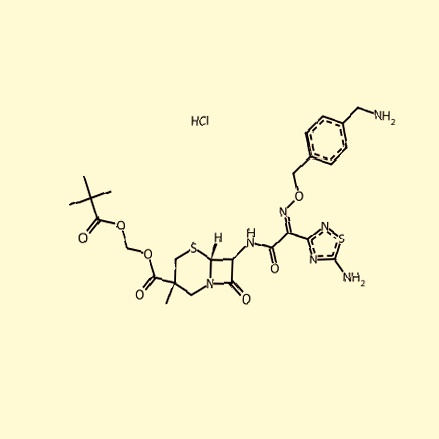 CC(C)(C)C(=O)OCOC(=O)C1(C)CS[C@@H]2C(NC(=O)C(=NOCc3ccc(CN)cc3)c3nsc(N)n3)C(=O)N2C1.Cl